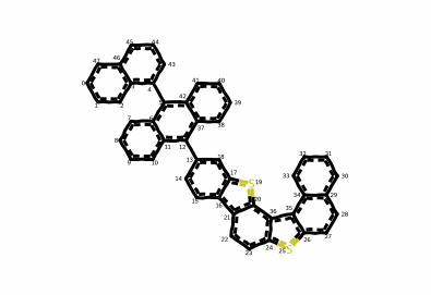 c1ccc2c(-c3c4ccccc4c(-c4ccc5c(c4)sc4c5ccc5sc6ccc7ccccc7c6c54)c4ccccc34)cccc2c1